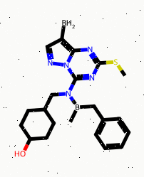 Bc1cnn2c(N(CC3CCC(O)CC3)B(C)Cc3ccccc3)nc(SC)nc12